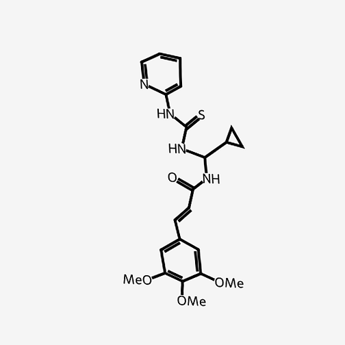 COc1cc(C=CC(=O)NC(NC(=S)Nc2ccccn2)C2CC2)cc(OC)c1OC